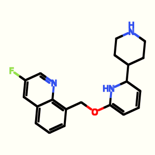 Fc1cnc2c(COC3=CC=CC(C4CCNCC4)N3)cccc2c1